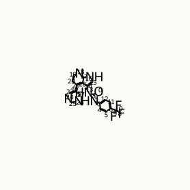 O=C(Nc1ccc(C(F)(F)F)cc1)Nc1c[nH]c2nccc(-c3cncnc3)c12